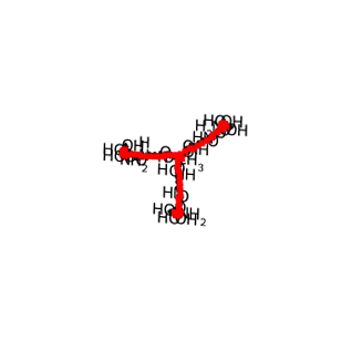 CC(CCCOC(=O)NCCCCCCNC(=O)CCCOC1CC(CO)C(O)C(O)C1N)(CCCOC(=O)NCCCCCCNC(=O)CCCOC1CC(CO)C(O)C(O)C1N)CCCOC(=O)NCCCCCCNC(=O)CCCOC1OC(CO)C(O)C(O)C1N